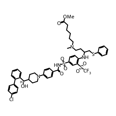 COC(=O)CCCCCN(C)CCC(CSc1ccccc1)Nc1ccc(S(=O)(=O)NC(=O)c2ccc(N3CCC([C@@H](O)c4ccccc4-c4ccc(Cl)cc4)CC3)cc2)cc1S(=O)(=O)C(F)(F)F